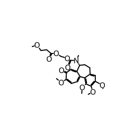 COCCC(=O)OCOC(=O)N(C)[C@H]1CCc2cc(OC)c(OC)c(OC)c2-c2ccc(OC)c(=O)cc21